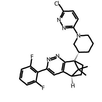 CC1(C)[C@H]2CCC1([C@H]1CCCN(c3ccc(Cl)nn3)C1)c1nnc(-c3c(F)cccc3F)cc12